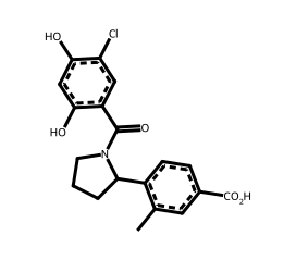 Cc1cc(C(=O)O)ccc1C1CCCN1C(=O)c1cc(Cl)c(O)cc1O